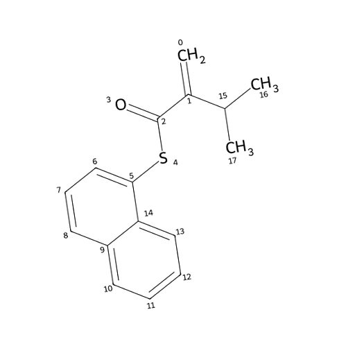 C=C(C(=O)Sc1cccc2ccccc12)C(C)C